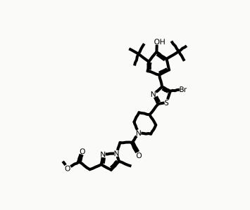 COC(=O)Cc1cc(C)n(CC(=O)N2CCC(c3nc(-c4cc(C(C)(C)C)c(O)c(C(C)(C)C)c4)c(Br)s3)CC2)n1